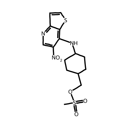 CS(=O)(=O)OCC1CCC(Nc2c([N+](=O)[O-])cnc3ccsc23)CC1